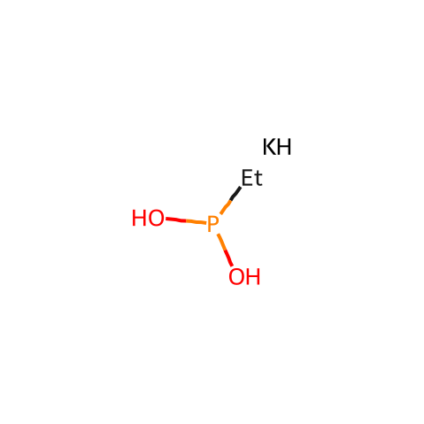 CCP(O)O.[KH]